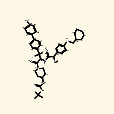 CC(C)(C)OC(=O)NC1CCN(C(=O)C(NC(=O)C(O)c2ccc(OCC3CCCCC3)cc2)C(F)(F)c2ccc(-c3ccc(Cl)cc3)cc2)CC1